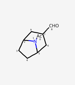 CC(=O)N1C2CCC1CC(C=O)C2